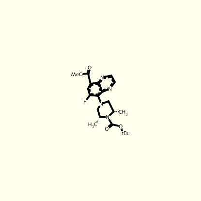 COC(=O)c1cc(F)c(N2C[C@@H](C)N(C(=O)OC(C)(C)C)[C@@H](C)C2)c2nccnc12